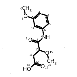 COc1cccc(NC(=O)C(CC(=O)O)OC)c1